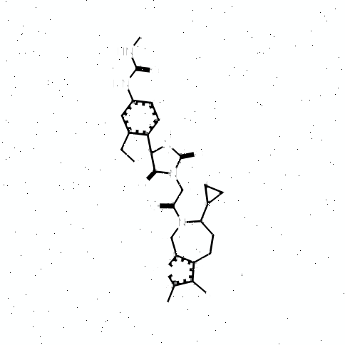 CNC(=O)Nc1ccc2c(c1)CC[C@@]21NC(=O)N(CC(=O)N2Cc3sc(C)c(C)c3CCC2C2CC2)C1=O